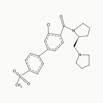 CS(=O)(=O)c1ccc(-c2ccc(C(=O)N3CCC[C@H]3CN3CCCC3)c(Cl)c2)cc1